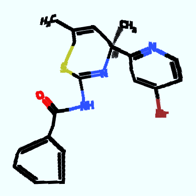 CC1=C[C@@](C)(c2cc(Br)ccn2)N=C(NC(=O)c2ccccc2)S1